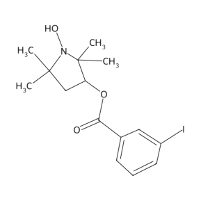 CC1(C)CC(OC(=O)c2cccc(I)c2)C(C)(C)N1O